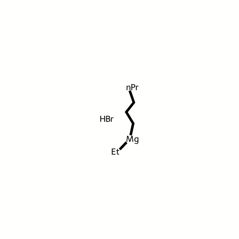 Br.CCCCC[CH2][Mg][CH2]C